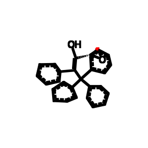 OC(=C(c1ccccc1)C(c1ccccc1)(c1ccccc1)c1ccccc1)[C@@H]1CO1